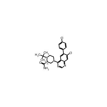 CC(C)(C)N1CCN(c2ncnc3cc(Cl)c(-c4ccc(Cl)cc4)cc23)C[C@H]1C(N)=O